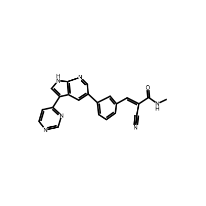 CNC(=O)/C(C#N)=C/c1cccc(-c2cnc3[nH]cc(-c4ccncn4)c3c2)c1